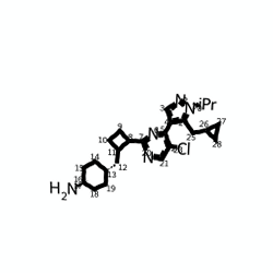 CC(C)n1ncc(-c2nc(C3CCC3C[C@H]3CC[C@H](N)CC3)ncc2Cl)c1CC1CC1